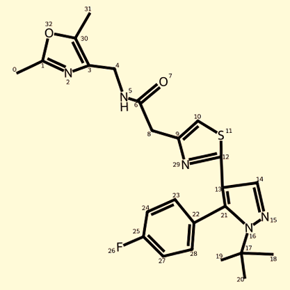 Cc1nc(CNC(=O)Cc2csc(-c3cnn(C(C)(C)C)c3-c3ccc(F)cc3)n2)c(C)o1